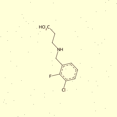 O=C(O)CCNCc1cccc(Cl)c1F